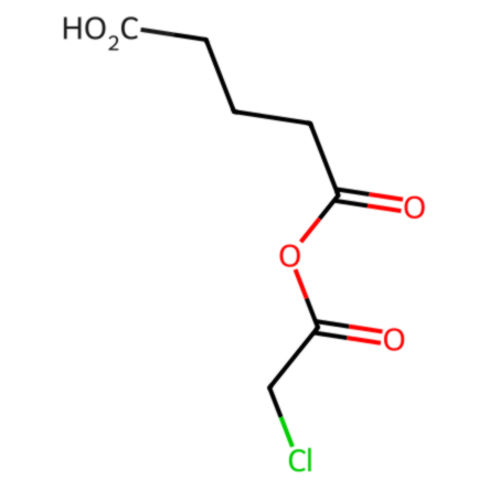 O=C(O)CCCC(=O)OC(=O)CCl